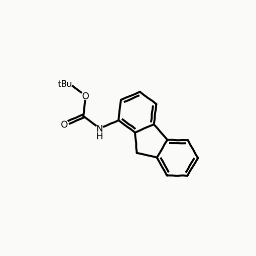 CC(C)(C)OC(=O)Nc1cccc2c1Cc1ccccc1-2